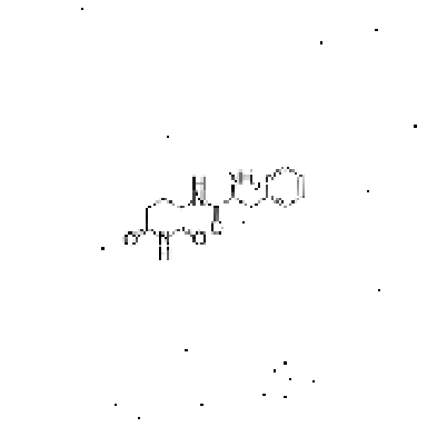 N[C@@H](Cc1ccccc1)C(=O)NC1CCC(=O)NC1=O